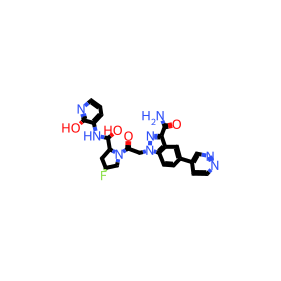 NC(=O)c1nn(CC(=O)N2CC(F)CC2C(O)Nc2cccnc2O)c2ccc(-c3ccnnc3)cc12